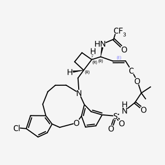 CC1(C)OC/C=C/[C@H](NC(=O)C(F)(F)F)[C@@H]2CC[C@H]2CN2CCCCc3cc(Cl)ccc3COc3ccc(cc32)S(=O)(=O)NC1=O